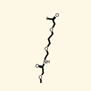 COCC(=O)NCCOCCCOCC(=O)I